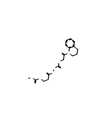 CC(C)[C@@H](CC(=O)NNC(=O)SCC(=O)N1CCCc2ccccc21)NC(=O)OC(C)(C)C